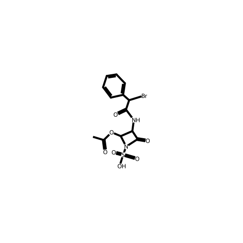 CC(=O)OC1C(NC(=O)C(Br)c2ccccc2)C(=O)N1S(=O)(=O)O